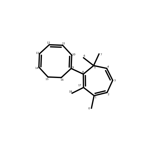 CC1=CC=CC(C)(C)C(C2=CC=CC=CCC2)=C1C